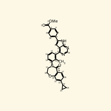 COC(=O)c1ccc(-c2cc3c(-c4cccc(N5CCOc6cc(C7CC7)ccc6C5=O)c4C)ncnc3[nH]2)cc1